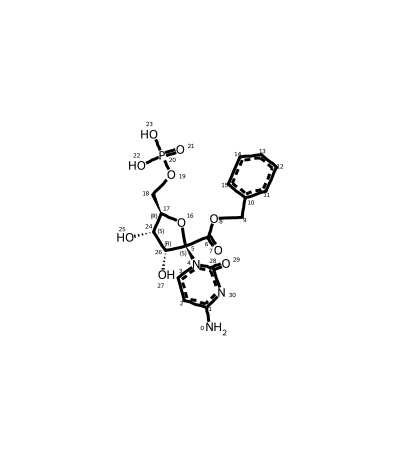 Nc1ccn([C@]2(C(=O)OCc3ccccc3)O[C@H](COP(=O)(O)O)[C@@H](O)[C@H]2O)c(=O)n1